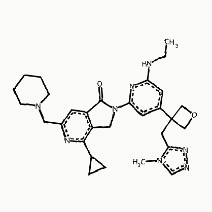 CCNc1cc(C2(Cc3nncn3C)COC2)cc(N2Cc3c(cc(CN4CCCCC4)nc3C3CC3)C2=O)n1